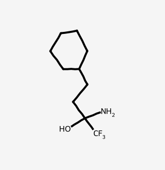 NC(O)(CCC1CCCCC1)C(F)(F)F